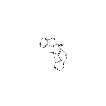 CC1(C)c2c(ccc3ccccc23)Nc2ccc3ccccc3c21